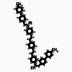 CCN(Cc1ccc(-c2ccc(C)cc2)cc1)c1ccc(C=Cc2ccc(C=Cc3ccc(N(CC)Cc4ccc(-c5ccc(C)cc5)cc4)cc3)cc2)cc1